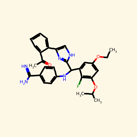 CCOc1cc(OC(C)C)c(F)c(C(Nc2ccc(C(=N)N)cc2)c2nc(-c3ccccc3C(C)=O)c[nH]2)c1